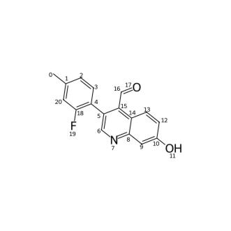 Cc1ccc(-c2cnc3cc(O)ccc3c2C=O)c(F)c1